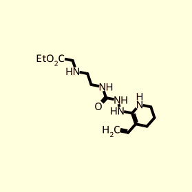 C=CC1=C(NNC(=O)NCCNCC(=O)OCC)NCCC1